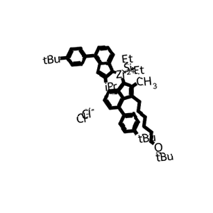 CC[Si](CC)=[Zr+2]([CH]1C(C(C)C)=Cc2c(-c3ccc(C(C)(C)C)cc3)cccc21)[CH]1C(C)=C(CCCCCCOC(C)(C)C)c2c(-c3ccc(C(C)(C)C)cc3)cccc21.[Cl-].[Cl-]